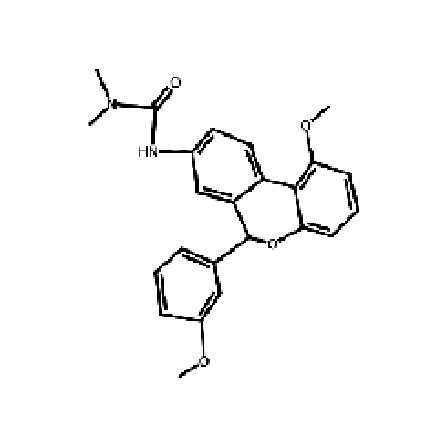 COc1cccc(C2Oc3cccc(OC)c3-c3ccc(NC(=O)N(C)C)cc32)c1